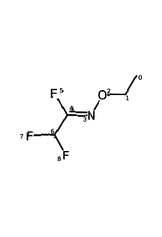 CCO/N=C(\F)[C](F)F